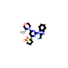 C[C@@H]1COCCN1c1cc([C@H]2CCCS2(=O)=O)nc(-n2c(CF)nc3ccccc32)n1